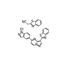 CCn1ncc2cc(-c3ccn4ncc(-c5nc6ccccc6s5)c4n3)ccc21.N#CCc1nc2ccccc2s1